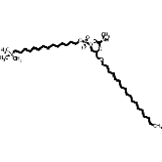 CCCCCCCCCCCCCCCCCCOCC(COP(=O)([O-])OCCCCCCCCCCCCCC[N+](C)(C)C)OC(=O)NC